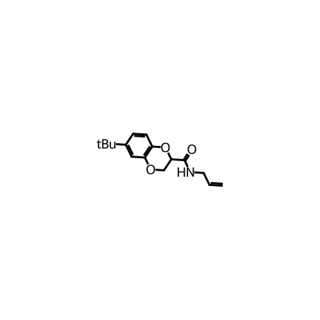 C=CCNC(=O)C1COc2cc(C(C)(C)C)ccc2O1